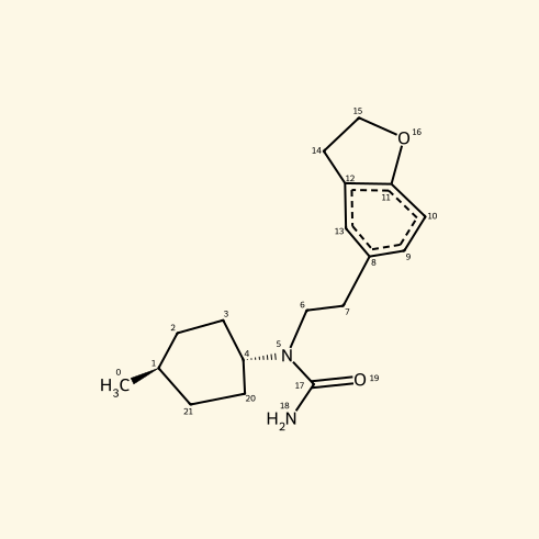 C[C@H]1CC[C@H](N(CCc2ccc3c(c2)CCO3)C(N)=O)CC1